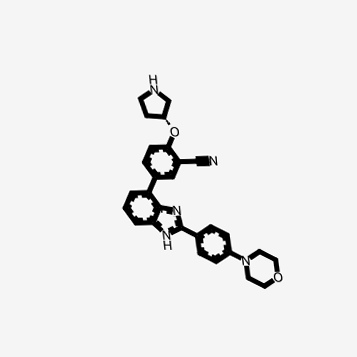 N#Cc1cc(-c2cccc3[nH]c(-c4ccc(N5CCOCC5)cc4)nc23)ccc1O[C@@H]1CCNC1